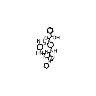 N[C@H]1CC[C@H](Nc2nc(NC3CCN(C(=O)C(O)c4ccccc4)CC3)c3ncn(C4CCCC4)c3n2)CC1